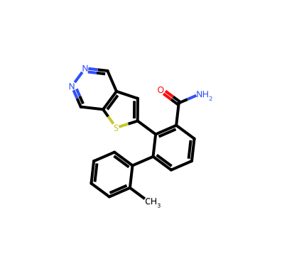 Cc1ccccc1-c1cccc(C(N)=O)c1-c1cc2cnncc2s1